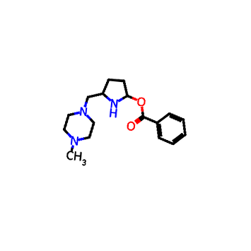 CN1CCN(CC2CCC(OC(=O)c3ccccc3)N2)CC1